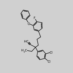 C#CC(CC)(CCCc1ccc(F)c(Oc2ccccc2)c1)c1ccc(Cl)c(Cl)c1